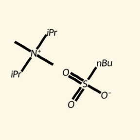 CC(C)[N+](C)(C)C(C)C.CCCCS(=O)(=O)[O-]